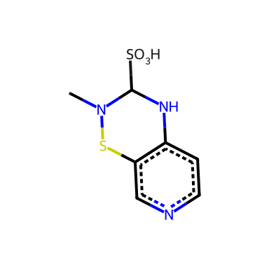 CN1Sc2cnccc2NC1S(=O)(=O)O